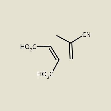 C=C(C)C#N.O=C(O)/C=C\C(=O)O